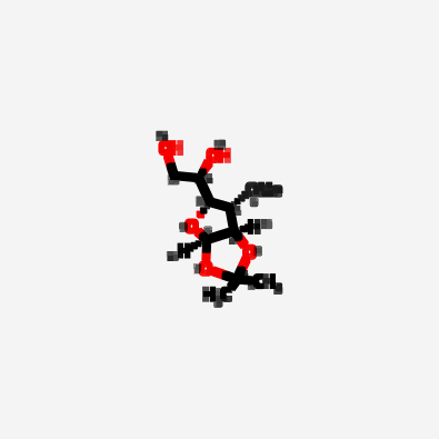 CO[C@@H]1[C@H]2OC(C)(C)O[C@H]2O[C@@H]1[C@H](O)CO